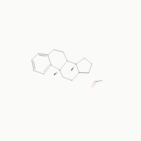 CC(=O)[C@H]1CC[C@H]2[C@@H]3CCc4ccccc4[C@H]3CC[C@]12C